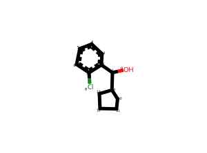 OC(c1ccccc1Cl)C1CCCC1